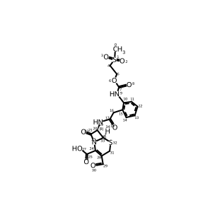 CS(=O)(=O)CCOC(=O)Nc1ccccc1CC(=O)N[C@@H]1C(=O)N2C(C(=O)O)=C(C=O)CS[C@H]12